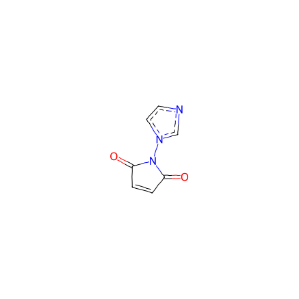 O=C1C=CC(=O)N1n1ccnc1